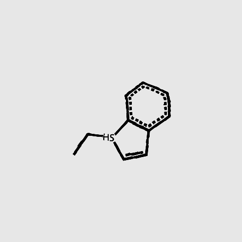 CC[SH]1C=Cc2ccccc21